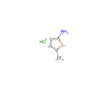 Cl.Nc1ccc(C(F)(F)F)s1